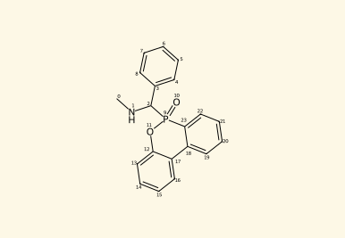 CNC(c1ccccc1)P1(=O)Oc2ccccc2-c2ccccc21